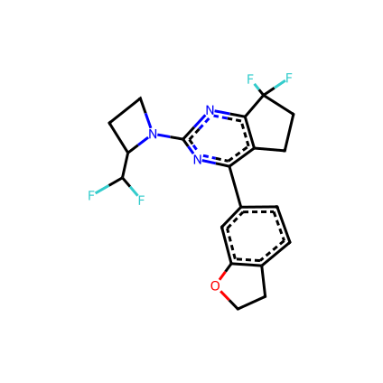 FC(F)C1CCN1c1nc(-c2ccc3c(c2)OCC3)c2c(n1)C(F)(F)CC2